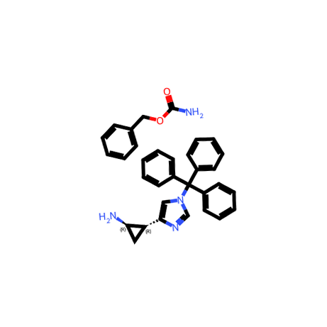 NC(=O)OCc1ccccc1.N[C@@H]1C[C@H]1c1cn(C(c2ccccc2)(c2ccccc2)c2ccccc2)cn1